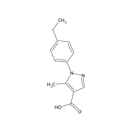 CCc1ccc(-n2ncc(C(=O)O)c2C)cc1